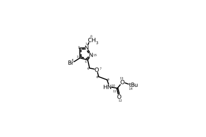 Cn1cc(Br)c(COCCNC(=O)OC(C)(C)C)n1